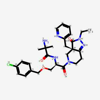 CC(C)(N)C(=O)N[C@H](COCc1ccc(Cl)cc1)C(=O)N1CCC2=NN(CC(F)(F)F)C(=O)[C@@]2(Cc2ccccn2)C1